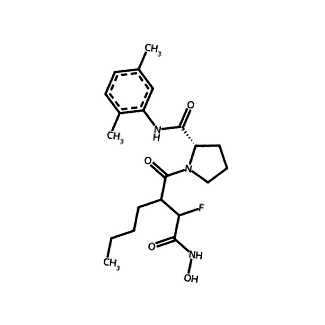 CCCCC(C(=O)N1CCC[C@H]1C(=O)Nc1cc(C)ccc1C)C(F)C(=O)NO